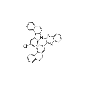 Clc1ccc2c(c1)c1c3ccccc3ccc1n2-c1nc2ccccc2nc1-c1ccc2c(ccc3ccccc32)c1